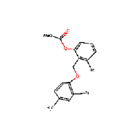 CCc1cc(C)ccc1OCc1c(CC)cccc1OC(=O)OC